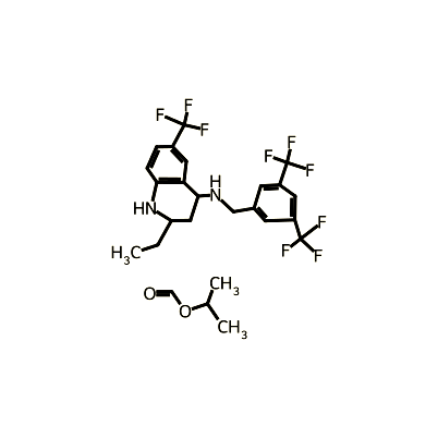 CC(C)OC=O.CCC1CC(NCc2cc(C(F)(F)F)cc(C(F)(F)F)c2)c2cc(C(F)(F)F)ccc2N1